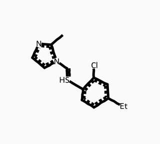 CCc1ccc([SH]=Cn2ccnc2C)c(Cl)c1